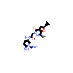 CC(C)c1nn(CC(=O)Nc2ccc(=N)n(C=N)c2)c(=O)c2cc(C3CC3)oc12